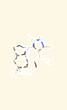 CCC(/C=C/C(=O)O)c1c(C)nn(C)c1-n1ccc2cc(Cl)ccc21